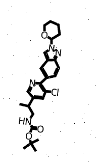 CC(CNC(=O)OC(C)(C)C)c1cnc(-c2ccc3nn(C4CCCCO4)cc3c2)c(Cl)c1